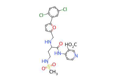 CS(=O)(=O)NCCC(NCc1ccc(-c2cc(Cl)ccc2Cl)o1)C(=O)Nc1ccncc1C(=O)O